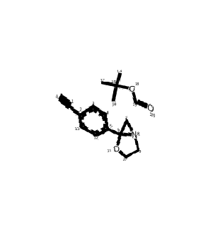 C#Cc1ccc(C23CN2CCO3)cc1.CC(C)(C)OC=O